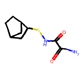 NC(=O)C(=O)NSC1CC2CCC1C2